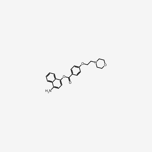 Nc1ccc(OC(=O)c2ccc(OCCN3CCOCC3)cc2)c2ccccc12